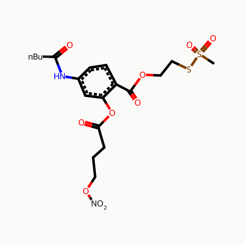 CCCCC(=O)Nc1ccc(C(=O)OCCSS(C)(=O)=O)c(OC(=O)CCCO[N+](=O)[O-])c1